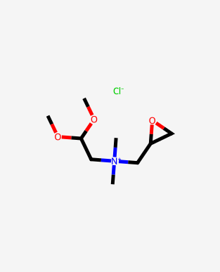 COC(C[N+](C)(C)CC1CO1)OC.[Cl-]